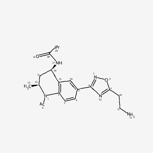 CC(=O)N1c2ccc(-c3noc(CCN)n3)cc2[C@H](NC(=O)C(C)C)C[C@@H]1C